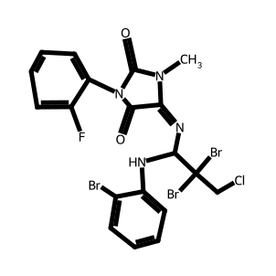 CN1C(=O)N(c2ccccc2F)C(=O)C1=NC(Nc1ccccc1Br)C(Br)(Br)CCl